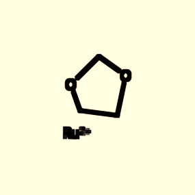 C1COCO1.[Ru+2]